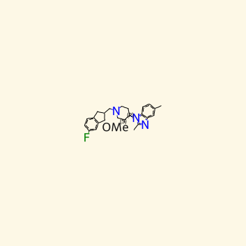 CO[C@H]1CN(CC2Cc3ccc(F)cc3C2)CC[C@H]1n1c(C)nc2cc(C)ccc21